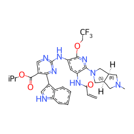 C=CC(=O)Nc1cc(Nc2ncc(C(=O)OC(C)C)c(-c3c[nH]c4ccccc34)n2)c(OCC(F)(F)F)nc1N1C[C@H]2CN(C)C[C@H]2C1